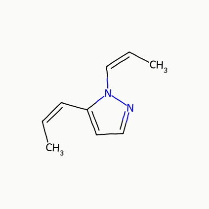 C/C=C\c1ccnn1/C=C\C